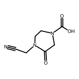 N#CCN1CCN(C(=O)O)CC1=O